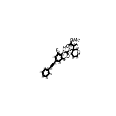 COC(=O)C(C)[C@@]1(NC(=O)Nc2c(F)cc(C#Cc3ccccc3)cc2F)CCCOC1